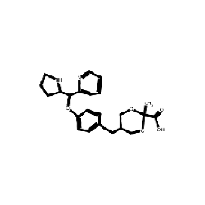 CC1(C(=O)O)OCC(Cc2ccc(OC(c3ccccn3)C3CCCN3)cc2)CO1